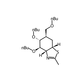 CCCCOC[C@H]1C[C@@H]2SC(C)=N[C@@H]2[C@@H](OCCCC)[C@@H]1OCCCC